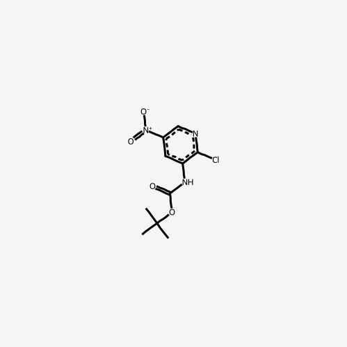 CC(C)(C)OC(=O)Nc1cc([N+](=O)[O-])cnc1Cl